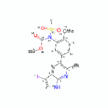 CCC(C)c1nc2[nH]cc(I)c2cc1-c1ccc(OC)c(N(C(=O)OC(C)(C)C)S(C)(=O)=O)c1